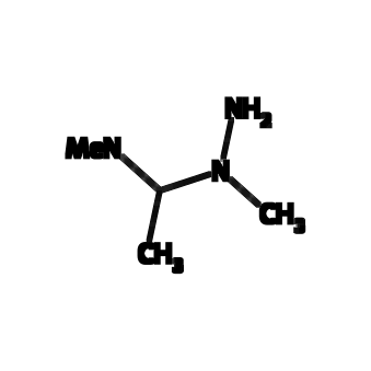 CNC(C)N(C)N